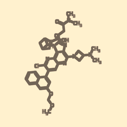 COCOc1cc(-c2cc3nc(N4CC(N(C)C)C4)c4nc(CCC(=O)N(C)C)n(C5C6CC5N(C(=O)O)C6)c4c3nc2Cl)c2ccccc2c1